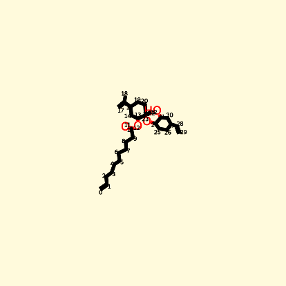 C=CCCCCCCCCC(=O)OC1CC(C(=C)C)CCC1(C)OC1CCC(C=C)CC1O